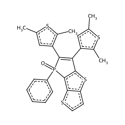 Cc1cc(C2=C(c3cc(C)sc3C)P(=O)(c3ccccc3)c3c2sc2ccsc32)c(C)s1